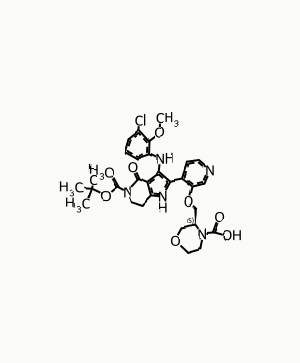 COc1c(Cl)cccc1Nc1c(-c2ccncc2OC[C@@H]2COCCN2C(=O)O)[nH]c2c1C(=O)N(C(=O)OC(C)(C)C)CC2